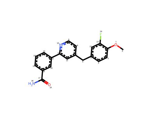 COc1ccc(Cc2ccnc(-c3cccc(C(N)=O)c3)c2)cc1F